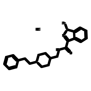 CC(C)n1nc(C(=O)NCC2CCN(CCc3ccccc3)CC2)c2ccccc21.Cl